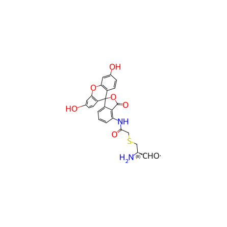 N[C@H]([C]=O)CSCC(=O)Nc1cccc2c1C(=O)OC21c2ccc(O)cc2Oc2cc(O)ccc21